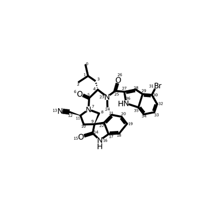 CC(C)C[C@@H](C(=O)N1C[C@]2(C[C@H]1C#N)C(=O)Nc1ccccc12)N(C)C(=O)c1cc2c(Br)cccc2[nH]1